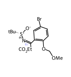 CCOC(=O)/C(=N/[S@@+]([O-])C(C)(C)C)c1cc(Br)ccc1OCOC